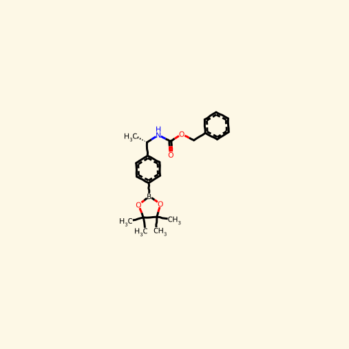 C[C@H](NC(=O)OCc1ccccc1)c1ccc(B2OC(C)(C)C(C)(C)O2)cc1